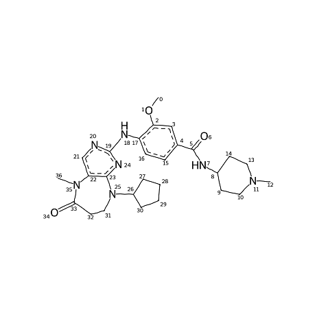 COc1cc(C(=O)NC2CCN(C)CC2)ccc1Nc1ncc2c(n1)N(C1CCCC1)CCC(=O)N2C